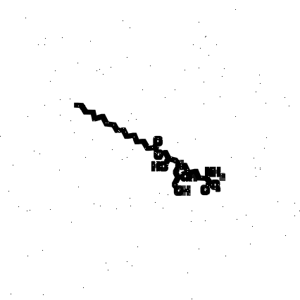 CCCCCCCCCCCCCCCC(=O)OCC(O)CN(CCCCC(N)C(=O)OC)CC(O)CO